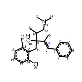 C/C(=C\c1ccccc1)C(O)(Cc1c(F)cccc1Cl)C(C)CN(C)C